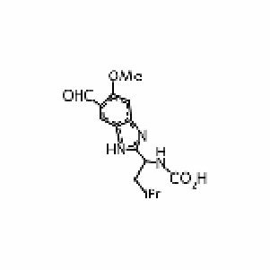 COc1cc2nc(C(CC(C)C)NC(=O)O)[nH]c2cc1C=O